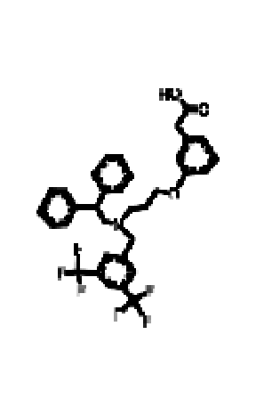 O=C(O)Cc1cccc(OCCCN(Cc2cc(C(F)(F)F)cc(C(F)(F)F)c2)CC(c2ccccc2)c2ccccc2)c1